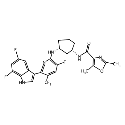 Cc1nc(C(=O)N[C@H]2CCC[C@@H](Nc3nc(-c4c[nH]c5c(F)cc(F)cc45)c(C(F)(F)F)cc3F)C2)c(C)o1